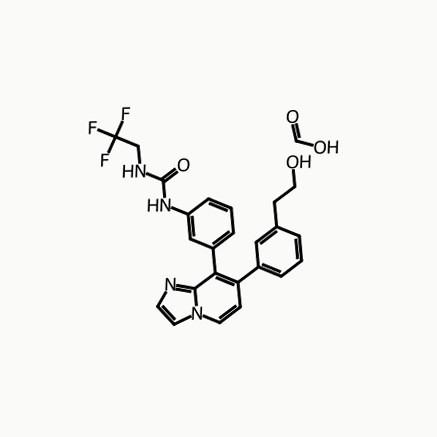 O=C(NCC(F)(F)F)Nc1cccc(-c2c(-c3cccc(CCO)c3)ccn3ccnc23)c1.O=CO